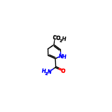 NC(=O)C1=CCC(C(=O)O)=CN1